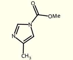 COC(=O)n1cnc(C)c1